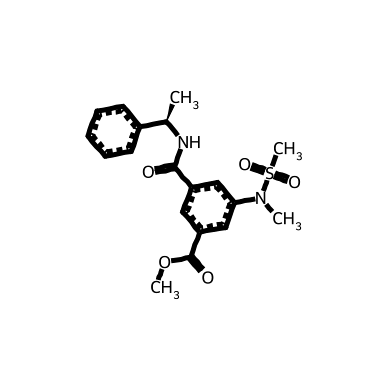 COC(=O)c1cc(C(=O)N[C@H](C)c2ccccc2)cc(N(C)S(C)(=O)=O)c1